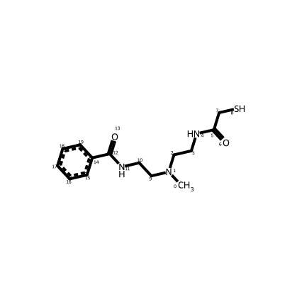 CN(CCNC(=O)CS)CCNC(=O)c1ccccc1